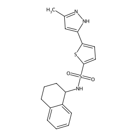 Cc1cc(-c2ccc(S(=O)(=O)NC3CCCc4ccccc43)s2)[nH]n1